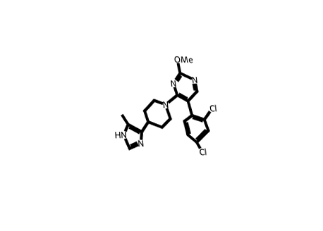 COc1ncc(-c2ccc(Cl)cc2Cl)c(N2CCC(c3nc[nH]c3C)CC2)n1